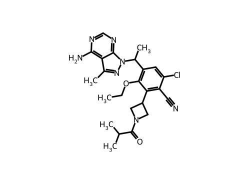 CCOc1c(C(C)n2nc(C)c3c(N)ncnc32)cc(Cl)c(C#N)c1C1CN(C(=O)C(C)C)C1